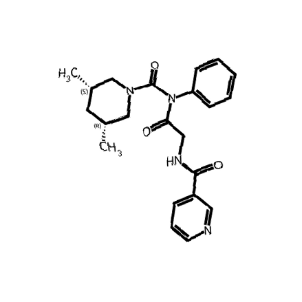 C[C@@H]1C[C@H](C)CN(C(=O)N(C(=O)CNC(=O)c2cccnc2)c2ccccc2)C1